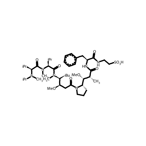 CC[C@H](C)[C@@H]([C@@H](CC(=O)N1CCC[C@H]1[C@H](OC)[C@@H](C)C(=O)N[C@@H](Cc1ccccc1)C(=O)NCCS(=O)(=O)O)OC)N(C)C(=O)[C@H](C(C)C)N(C)C(=O)[C@H](C(C)C)N(C)C(C)C